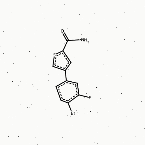 CCc1ccc(-c2csc(C(N)=O)c2)cc1F